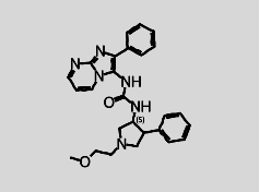 COCCN1CC(c2ccccc2)[C@H](NC(=O)Nc2c(-c3ccccc3)nc3ncccn23)C1